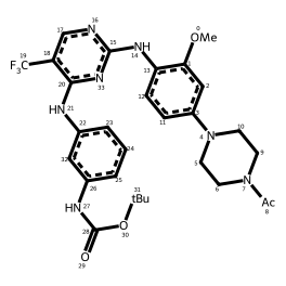 COc1cc(N2CCN(C(C)=O)CC2)ccc1Nc1ncc(C(F)(F)F)c(Nc2cccc(NC(=O)OC(C)(C)C)c2)n1